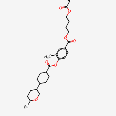 C=CC(=O)OCCCCOC(=O)c1ccc(OC(=O)C2CCC(C3CCC(CC)OC3)CC2)c(C)c1